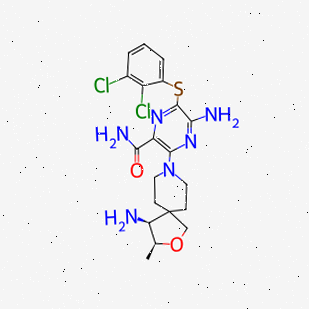 C[C@@H]1OCC2(CCN(c3nc(N)c(Sc4cccc(Cl)c4Cl)nc3C(N)=O)CC2)[C@@H]1N